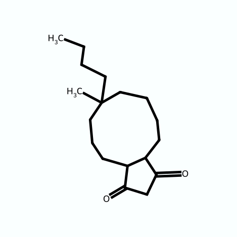 CCCCC1(C)CCCCC2C(=O)CC(=O)C2CCC1